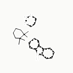 CC1(C)CCCCC1(C)C.c1ccc2c(c1)[nH]c1ccccc12.c1cnnnc1